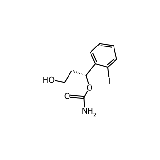 NC(=O)O[C@H](CCO)c1ccccc1I